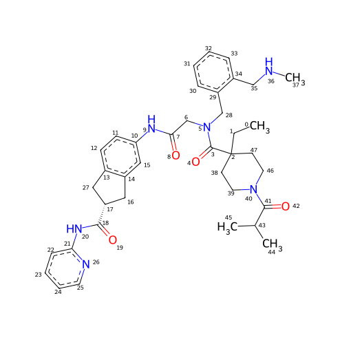 CCC1(C(=O)N(CC(=O)Nc2ccc3c(c2)C[C@H](C(=O)Nc2ccccn2)C3)Cc2ccccc2CNC)CCN(C(=O)C(C)C)CC1